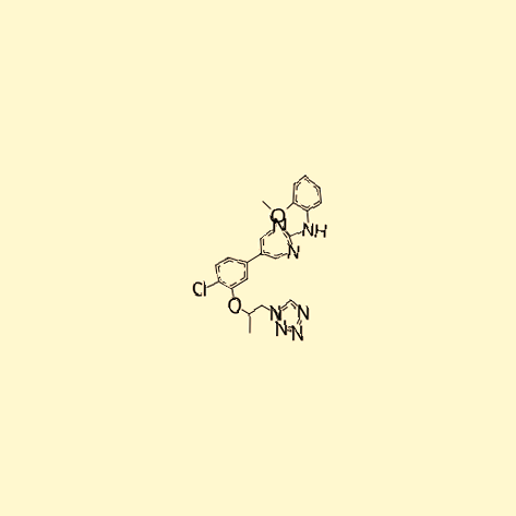 COc1ccccc1Nc1ncc(-c2ccc(Cl)c(OC(C)Cn3cnnn3)c2)cn1